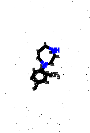 Cc1ccc(N2CCCNCC2)c(C(F)(F)F)c1